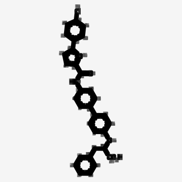 O=C(Nc1ccc(-c2ccc(OC(Cc3ccccc3)C(=O)O)cc2)cc1)c1ccc(-c2ccc(Cl)cc2)o1